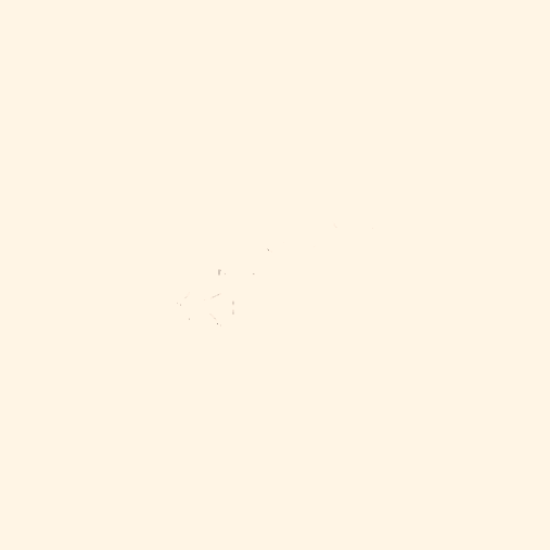 FC(F)(F)c1ccc(CCN2CCC(Nc3ccnc4[nH]ncc34)C(F)(F)C2)cc1